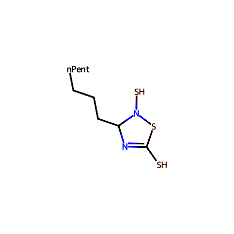 CCCCCCCCC1N=C(S)SN1S